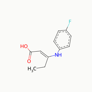 CCC(=CC(=O)O)Nc1ccc(F)cc1